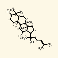 CC(C)=CCCC(C)(O)C1CCC2(C)C1C(O)CC1C3(C)CCC(O)C(C)(C)C3CCC12C